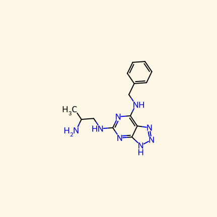 CC(N)CNc1nc(NCc2ccccc2)c2nn[nH]c2n1